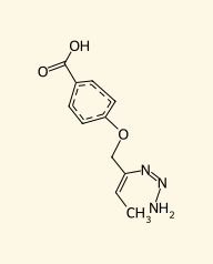 C/C=C(COc1ccc(C(=O)O)cc1)\N=N/N